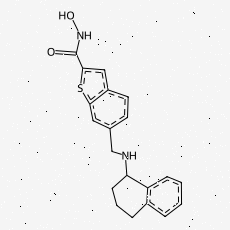 O=C(NO)c1cc2ccc(CNC3CCCc4ccccc43)cc2s1